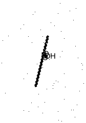 CCCCCCCCCCCCCCCCCCCCN(CCCCCCCCCCCC)S(=O)(=O)O